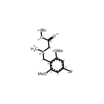 COc1cc(Br)cc(OC)c1CN(C)CC(=O)OC(C)(C)C